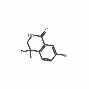 O=C1NCC(F)(F)c2ccc(Br)cc21